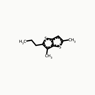 CCCc1sc2cc(C)sc2c1C